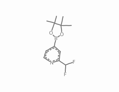 CC1(C)OB(c2ccnc(C(F)F)c2)OC1(C)C